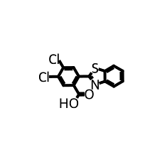 O=C(O)c1cc(Cl)c(Cl)cc1-c1nc2ccccc2s1